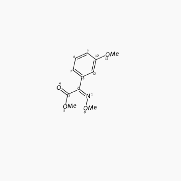 CON=C(C(=O)OC)c1cccc(OC)c1